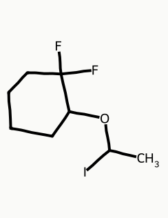 CC(I)OC1CCCCC1(F)F